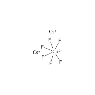 [Cs+].[Cs+].[F][Cu-2]([F])([F])([F])([F])[F]